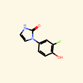 O=c1[nH]ccn1-c1ccc(O)c(F)c1